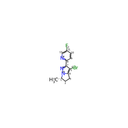 C[C@H]1CCc2c(Br)c(-c3ccc(F)cn3)nn21